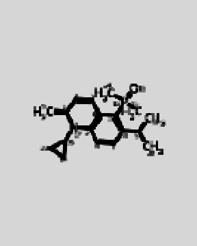 C=C1C=Cc2c(ccc(C(C)C)c2P(C)(C)=O)N1C1CC1